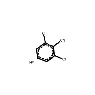 F.N#Cc1c(Cl)cccc1Cl